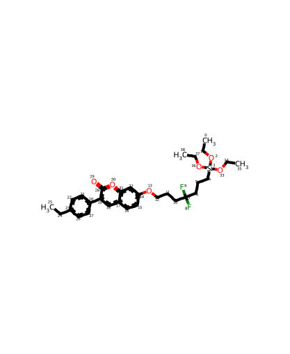 CCO[Si](CCCC(F)(F)CCCOc1ccc2cc(-c3ccc(CC)cc3)c(=O)oc2c1)(OCC)OCC